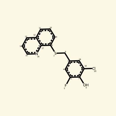 Oc1c(F)cc(CSc2cccc3cccnc23)cc1Cl